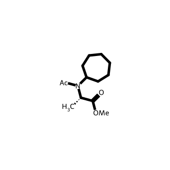 COC(=O)[C@H](C)N(C(C)=O)C1CCCCCC1